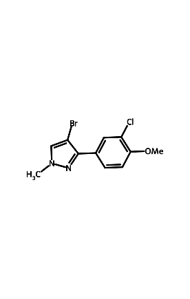 COc1ccc(-c2nn(C)cc2Br)cc1Cl